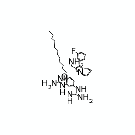 CCCCCCCCCCCCOc1ccc(NC(=N)N)cc1NC(=N)N.NCc1cn2ccccc2c1-c1cccc(F)c1